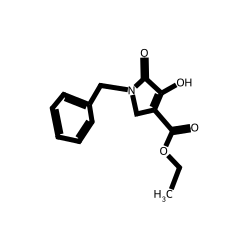 CCOC(=O)C1=C(O)C(=O)N(Cc2ccccc2)C1